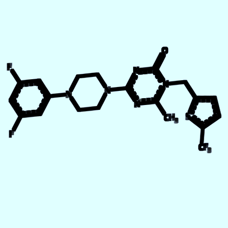 Cc1nc(N2CCN(c3cc(F)cc(F)c3)CC2)nc(=O)n1Cc1ccc(C(F)(F)F)s1